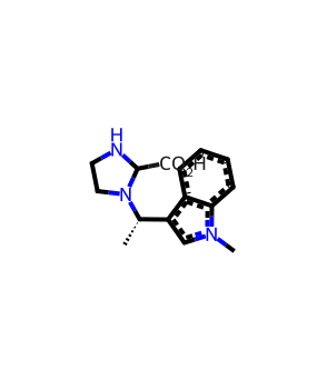 C[C@@H](c1cn(C)c2ccccc12)N1CCNC1C(=O)O